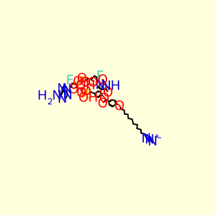 [N-]=[N+]=NCCCCCCCCCCCCOc1ccc(C(=O)Oc2ccc(CSP(=O)(O)OC[C@H]3O[C@@H](n4cnc5c(N)ncnc54)[C@H](F)[C@@H]3OP(=O)(O)OC[C@@H]3C[C@@H](F)[C@H](n4ccc(=O)[nH]c4=O)O3)cc2)cc1